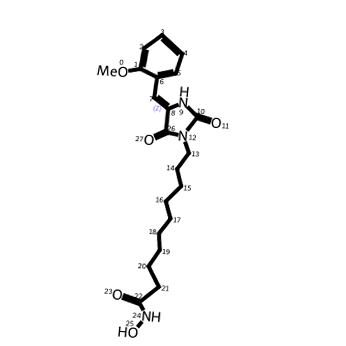 COc1ccccc1/C=C1\NC(=O)N(CCCCCCCCCC(=O)NO)C1=O